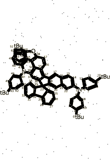 CC(C)(C)c1ccc(N(c2ccc(C(C)(C)C)cc2)c2ccc3cc4c(cc3c2)C2(c3ccccc3-c3ccccc32)c2cc(N(c3ccc(C(C)(C)C)cc3)c3ccc(C(C)(C)C)cc3)c3c(ccc5oc6ccccc6c53)c2-4)cc1